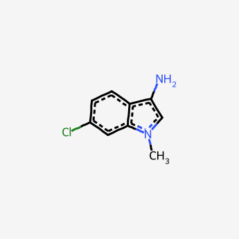 Cn1cc(N)c2ccc(Cl)cc21